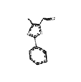 Cc1nc(-c2ccccc2)oc1C=O